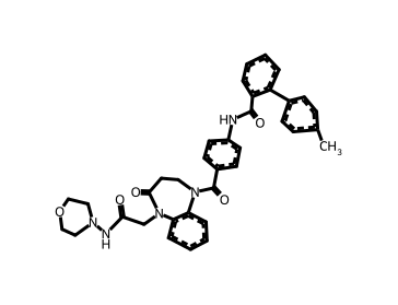 Cc1ccc(-c2ccccc2C(=O)Nc2ccc(C(=O)N3CCC(=O)N(CC(=O)NN4CCOCC4)c4ccccc43)cc2)cc1